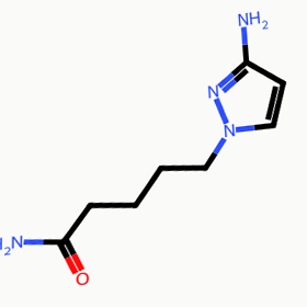 NC(=O)CCCCn1ccc(N)n1